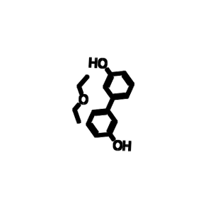 CCOCC.Oc1cccc(-c2cccc(O)c2)c1